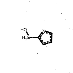 O[SiH2]c1cccs1